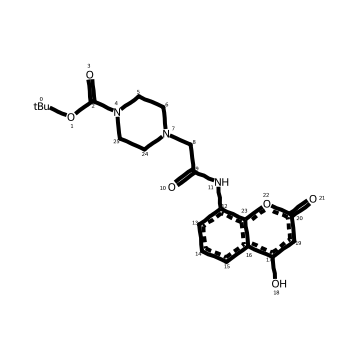 CC(C)(C)OC(=O)N1CCN(CC(=O)Nc2cccc3c(O)cc(=O)oc23)CC1